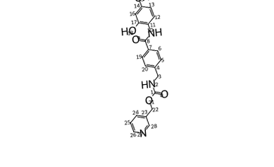 O=C(NCc1ccc(C(=O)Nc2ccc(O)cc2O)cc1)OCc1cccnc1